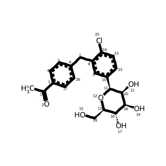 CC(=O)c1ccc(Cc2cc([C@@H]3O[C@H](CO)[C@@H](O)[C@H](O)[C@@H]3O)ccc2Cl)cc1